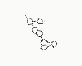 CC1C=C(c2ccncc2)C(c2ccc3cc(-c4cc5c6c(cccc6c4)-c4ccccc4-5)ccc3c2)=CC1